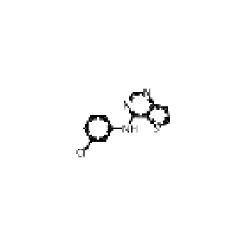 Clc1cccc(Nc2ncnc3ccsc23)c1